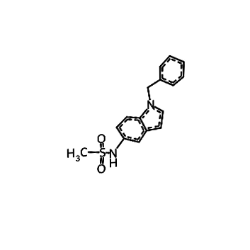 CS(=O)(=O)Nc1ccc2c(ccn2Cc2ccccc2)c1